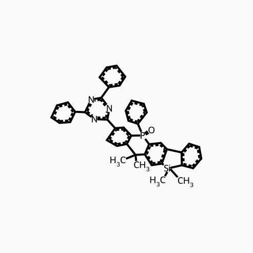 CC1(C)c2ccc(-c3nc(-c4ccccc4)nc(-c4ccccc4)n3)cc2P(=O)(c2ccccc2)c2cc3c(cc21)[Si](C)(C)c1ccccc1-3